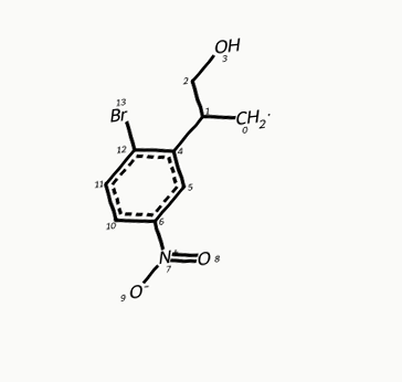 [CH2]C(CO)c1cc([N+](=O)[O-])ccc1Br